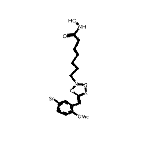 COc1ccc(Br)cc1C=C1ON(CCCCCCC(=O)NO)OS1